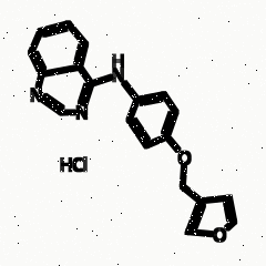 Cl.c1ccc2c(Nc3ccc(OCc4ccoc4)cc3)ncnc2c1